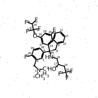 CN(C)Cc1cc([C@@](Cc2ccccc2)(NCC(O)CC(F)(F)F)c2cc(F)cc(OC(F)(F)C(F)F)c2)ccc1F